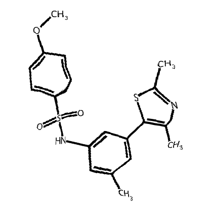 COc1ccc(S(=O)(=O)Nc2cc(C)cc(-c3sc(C)nc3C)c2)cc1